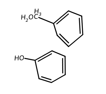 Cc1ccccc1.O.Oc1ccccc1